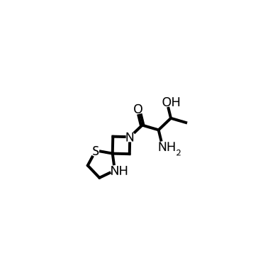 CC(O)C(N)C(=O)N1CC2(C1)NCCS2